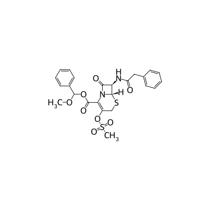 COC(OC(=O)C1=C(OS(C)(=O)=O)CS[C@H]2[C@H](NC(=O)Cc3ccccc3)C(=O)N12)c1ccccc1